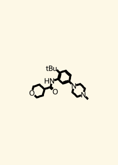 CN1CCN(c2ccc(C(C)(C)C)c(NC(=O)C3CCOCC3)c2)CC1